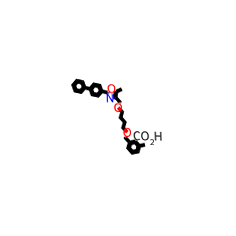 Cc1cccc(COCCCCOCc2nc(-c3ccc(-c4ccccc4)cc3)oc2C)c1C(=O)O